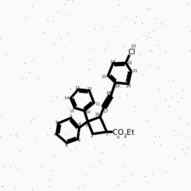 CCOC(=O)C1CC(c2ccccc2)(c2ccccc2)C1C#Cc1ccc(Cl)cc1